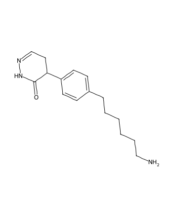 NCCCCCCc1ccc(C2CC=NNC2=O)cc1